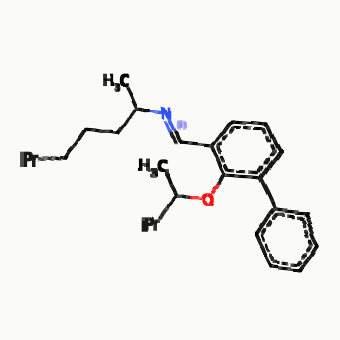 CC(C)CCCC(C)/N=C/c1cccc(-c2ccccc2)c1OC(C)C(C)C